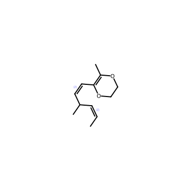 C/C=C\C(C)/C=C\C1=C(C)OCCO1